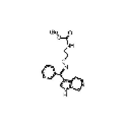 CC(C)(C)OC(=O)NCCON=C(c1ccccc1)c1c[nH]c2cnccc12